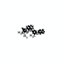 Cc1cc(Nc2ncnc3cnc(N4C(=O)C(C)(C)C5CC54)cc23)ccc1Oc1ccn2ncnc2c1